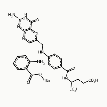 CCCCOC(=O)c1ccccc1N.Nc1nc2ncc(CNc3ccc(C(=O)NC(CCC(=O)O)C(=O)O)cc3)nc2c(=O)[nH]1